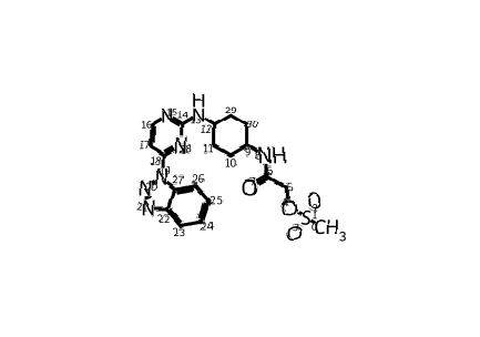 CS(=O)(=O)OCC(=O)NC1CCC(Nc2nccc(-n3nnc4ccccc43)n2)CC1